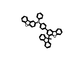 CC1(c2cc(-c3ccc(N(c4ccccc4)c4ccc5oc6ccccc6c5c4)cc3)cc3c2oc2ccccc23)c2ccccc2-c2ccccc21